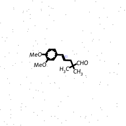 COc1ccc(/C=C/CC(C)(C)C=O)cc1OC